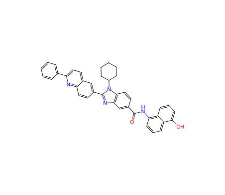 O=C(Nc1cccc2c(O)cccc12)c1ccc2c(c1)nc(-c1ccc3nc(-c4ccccc4)ccc3c1)n2C1CCCCC1